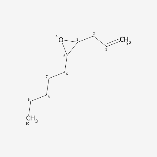 C=CCC1OC1CCCCC